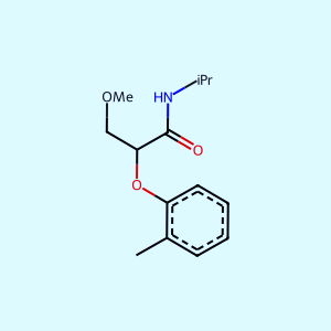 COCC(Oc1ccccc1C)C(=O)NC(C)C